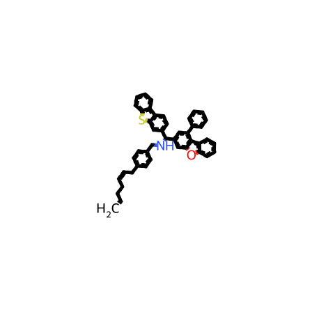 C=CCC/C=C\Cc1ccc(CNC(c2cc(-c3ccccc3)c3c(c2)oc2ccccc23)c2ccc3c(c2)sc2ccccc23)cc1